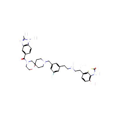 Cc1nc2cc(C(=O)N3CCOC4(CCN(Cc5cc(F)cc(CCNC[C@H](O)c6ccc(O)c7[nH]c(=O)sc67)c5)CC4)C3)ccc2n1C